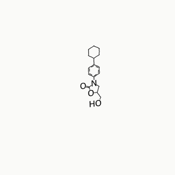 O=C1OC(CO)CN1c1ccc(C2CCCCC2)cc1